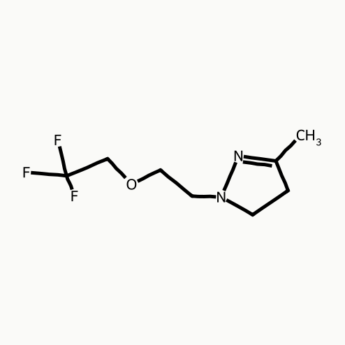 CC1=NN(CCOCC(F)(F)F)CC1